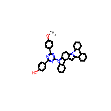 COc1ccc(-c2nc(-c3ccc(O)cc3)nc(-n3c4ccccc4c4c5cc6c7ccccc7c7ccccc7n6c5ccc43)n2)cc1